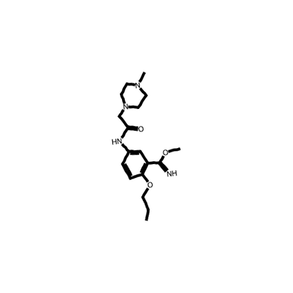 CCCOc1ccc(NC(=O)CN2CCN(C)CC2)cc1C(=N)OC